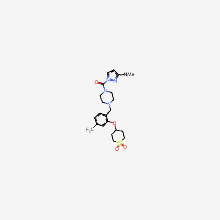 CNc1ccn(C(=O)N2CCN(Cc3ccc(C(F)(F)F)cc3OC3CCS(=O)(=O)CC3)CC2)n1